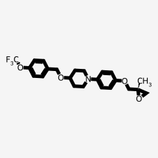 C[C@]1(COc2ccc(N3CCC(OCc4ccc(OC(F)(F)F)cc4)CC3)cc2)CO1